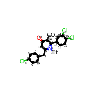 CCn1c(Cc2ccc(Cl)cc2)cc(=O)c(C(=O)O)c1-c1ccc(Cl)c(Cl)c1